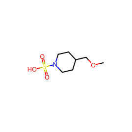 COCC1CCN(S(=O)(=O)O)CC1